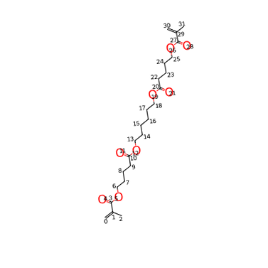 C=C(C)C(=O)OCCCCC(=O)OCCCCCCOC(=O)CCCCOC(=O)C(=C)C